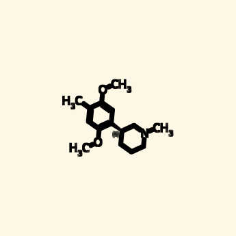 COc1cc([C@@H]2CCCN(C)C2)c(OC)cc1C